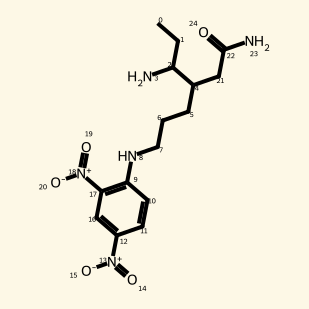 CCC(N)C(CCCNc1ccc([N+](=O)[O-])cc1[N+](=O)[O-])CC(N)=O